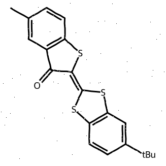 Cc1ccc2c(c1)C(=O)/C(=C1\Sc3ccc(C(C)(C)C)cc3S1)S2